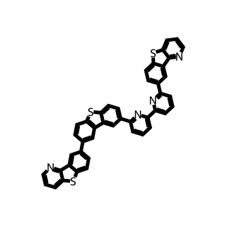 c1cc(-c2ccc3sc4ccc(-c5ccc6sc7cccnc7c6c5)cc4c3c2)nc(-c2cccc(-c3ccc4sc5cccnc5c4c3)n2)c1